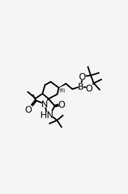 CCC1CC[C@@H](CCB2OC(C)(C)C(C)(C)O2)CC1(C(=O)NC(C)(C)C)N(C)C(C)=O